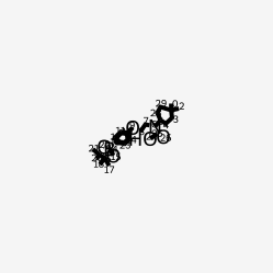 CC1(C)CCC(N(CCOc2ccc(B3OC(C)(C)C(C)(C)O3)cc2)C(=O)O)CC1